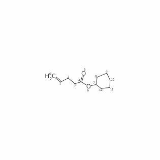 C=CCCC(=O)OC1CCCCC1